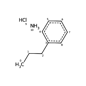 CCCc1ccccc1.Cl.N